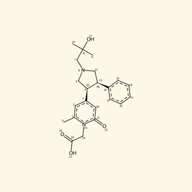 Cc1cc([C@H]2CN(CC(C)(C)O)C[C@H]2c2ccccc2)cc(=O)n1CC(=O)O